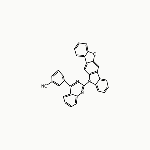 N#Cc1cccc(-c2nc(-n3c4ccccc4c4cc5oc6ccccc6c5cc43)nc3ccccc23)c1